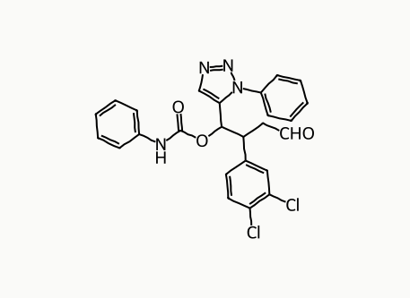 O=CCC(c1ccc(Cl)c(Cl)c1)C(OC(=O)Nc1ccccc1)c1cnnn1-c1ccccc1